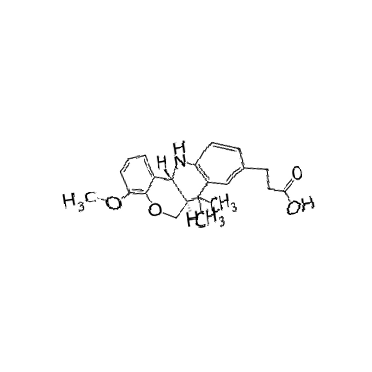 COc1cccc2c1OC[C@H]1[C@H]2Nc2ccc(CCC(=O)O)cc2C1(C)C